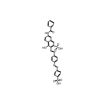 O=C(Nc1ccc2c(O)c(/N=N/c3ccc(/N=N/c4ccc(S(=O)(=O)O)cc4)cc3)c(S(=O)(=O)O)cc2c1)c1ccccc1